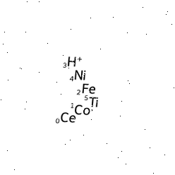 [Ce].[Co].[Fe].[H+].[Ni].[Ti]